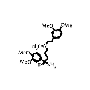 COc1ccc(CCN(C)CCCC(N)(c2ccc(OC)c(OC)c2)C(C)C)cc1OC